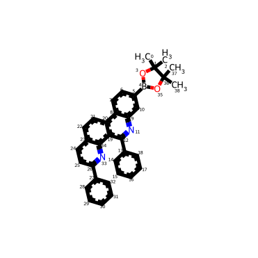 CC1(C)OB(c2ccc3c(c2)nc(-c2ccccc2)c2c3ccc3ccc(-c4ccccc4)nc32)OC1(C)C